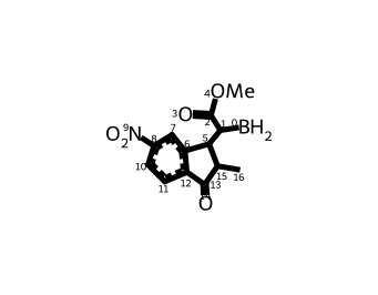 BC(C(=O)OC)C1c2cc([N+](=O)[O-])ccc2C(=O)C1C